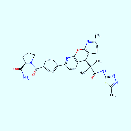 Cc1ccc2c(n1)Oc1nc(-c3ccc(C(=O)N4CCC[C@@H]4C(N)=O)cc3)ccc1[C@@H]2C(C)(C)C(=O)Nc1nnc(C)s1